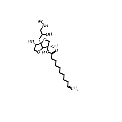 C=CCCCCCCCCC(=O)O[C@]1(O)CO[C@]2(CC(O)CNC(C)C)[C@@H](O)CO[C@@H]21